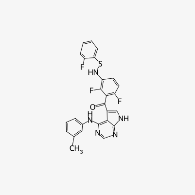 Cc1cccc(Nc2ncnc3[nH]cc(C(=O)c4c(F)ccc(NSc5ccccc5F)c4F)c23)c1